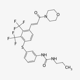 CCCNC(=O)Nc1cccc(Sc2ccc(C=CC(=O)N3CCOCC3)c(C(F)(F)F)c2C(F)(F)F)c1